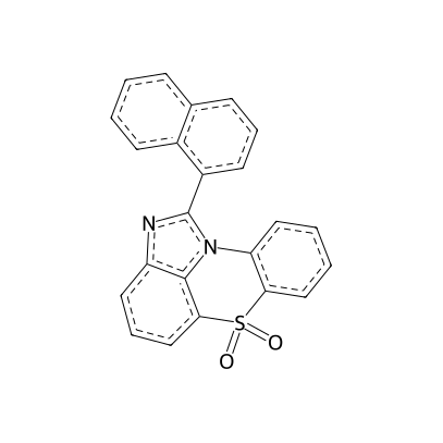 O=S1(=O)c2ccccc2-n2c(-c3cccc4ccccc34)nc3cccc1c32